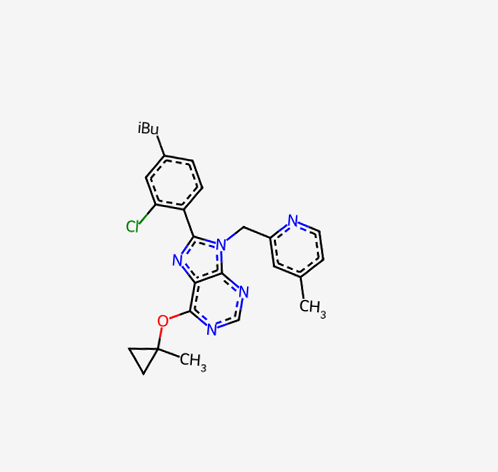 CCC(C)c1ccc(-c2nc3c(OC4(C)CC4)ncnc3n2Cc2cc(C)ccn2)c(Cl)c1